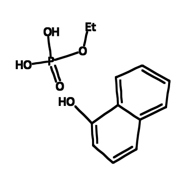 CCOP(=O)(O)O.Oc1cccc2ccccc12